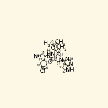 CC(C)(C)OC(=O)NC1(C(=O)NC(CC#N)c2ccc(Cl)cc2)CCN(c2ncnc3[nH]ccc23)CC1